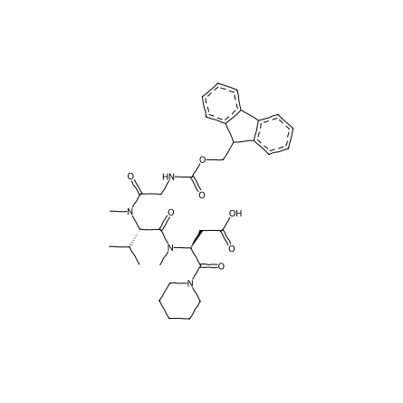 CC(C)[C@@H](C(=O)N(C)[C@@H](CC(=O)O)C(=O)N1CCCCC1)N(C)C(=O)CNC(=O)OCC1c2ccccc2-c2ccccc21